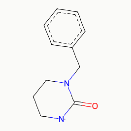 O=C1[N]CCCN1Cc1ccccc1